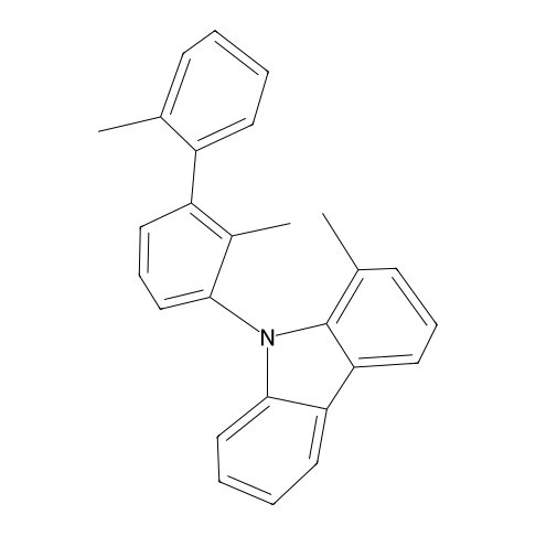 Cc1ccccc1-c1cccc(-n2c3ccccc3c3cccc(C)c32)c1C